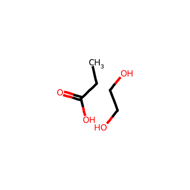 CCC(=O)O.OCCO